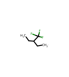 [CH2]CC(CC)C(F)(F)F